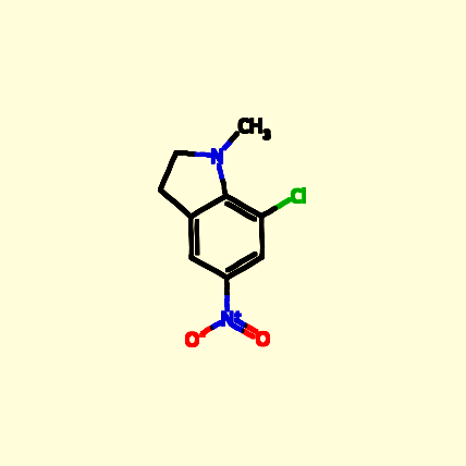 CN1CCc2cc([N+](=O)[O-])cc(Cl)c21